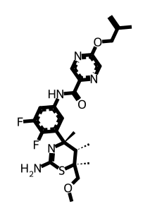 C=C(C)COc1cnc(C(=O)Nc2cc(F)c(F)c([C@@]3(C)N=C(N)S[C@](C)(COC)[C@H]3C)c2)cn1